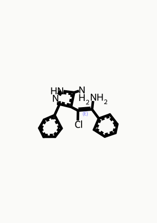 N/C(=C(/Cl)c1c(-c2ccccc2)n[nH]c1N)c1ccccc1